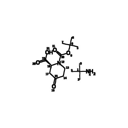 CC(C)(C)N.CC(C)(C)OC(=O)N1CCC(=O)C[C@H]1C(=O)O